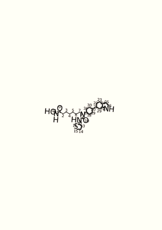 O=C(CCCCCCN(C(=O)Nc1cccs1)c1ccc(-c2ccc3cc[nH]c3c2)cc1)NO